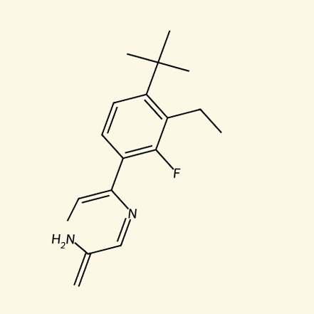 C=C(N)/C=N\C(=C/C)c1ccc(C(C)(C)C)c(CC)c1F